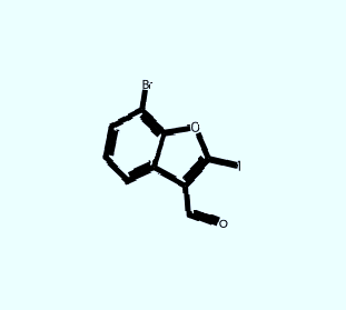 O=Cc1c(I)oc2c(Br)cccc12